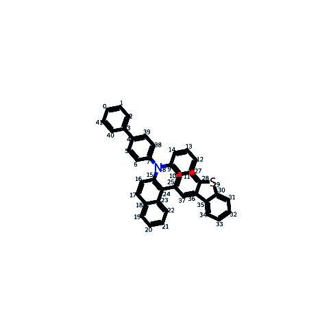 c1ccc(-c2ccc(N(c3ccccc3)c3ccc4ccccc4c3-c3ccc4sc5ccccc5c4c3)cc2)cc1